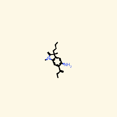 C=C(CC)c1cc2c(cc1N)C(C)(CCCC)C(=C)N2C